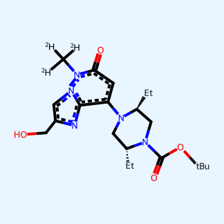 [2H]C([2H])([2H])n1c(=O)cc(N2C[C@@H](CC)N(C(=O)OC(C)(C)C)C[C@@H]2CC)c2nc(CO)cn21